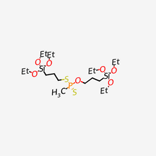 CCO[Si](CCCOP(C)(=S)SCCC[Si](OCC)(OCC)OCC)(OCC)OCC